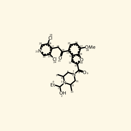 CCC(O)N1C(C)CN(C(=O)c2cc3c(C(=O)Cc4c(Cl)cncc4Cl)ccc(OC)c3o2)CC1C